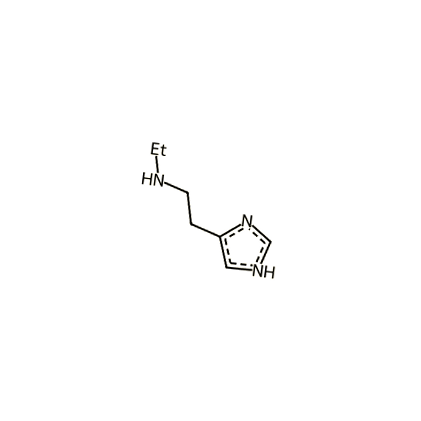 [CH2]CNCCc1c[nH]cn1